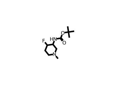 CN1CCC(F)C(NC(=O)OC(C)(C)C)C1